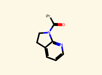 CC(C)C(=O)N1CCc2cccnc21